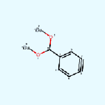 CCCCOC(OCCCC)c1cc#ccc1